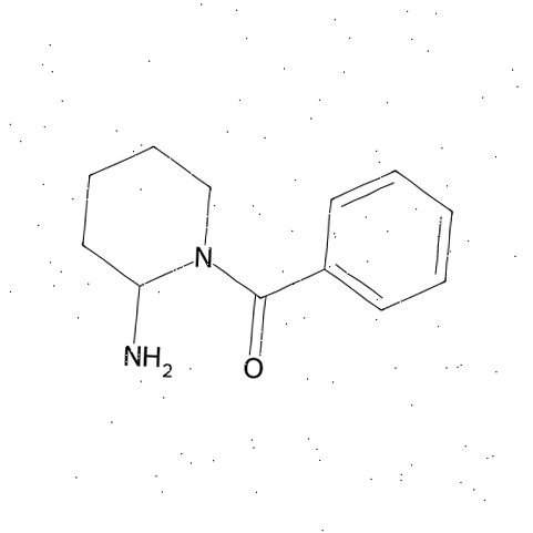 NC1CCCCN1C(=O)c1ccccc1